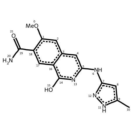 COc1cc2cc(Nc3cc(C)[nH]n3)nc(O)c2cc1C(N)=O